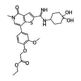 CCOC(=O)COc1ccc(-c2cn(C)c(=O)c3cc(C(=N)NC4CCS(O)(O)CC4)sc23)cc1OC